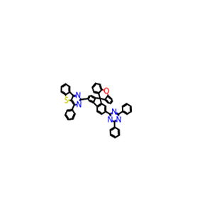 c1ccc(-c2nc(-c3ccccc3)nc(-c3ccc4c(c3)C3(c5ccccc5Oc5ccccc53)c3ccc(-c5nc(-c6ccccc6)c6sc7ccccc7c6n5)cc3-4)n2)cc1